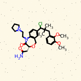 COc1cccc(CC(C)(C)C(Cl)c2ccc3c(c2)CO[C@H](CC(N)=O)C(=O)N3CCN2CCCC2)c1OC